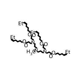 CC/C=C\CCCCOC(=O)CCN(CCCN(C)CCCN(CCC(=O)OCCCC/C=C\CC)CCC(=O)OCCCC/C=C\CC)CCC(=O)OCCCC/C=C\CC